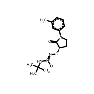 Cc1cccc(N2CC[C@@H](O/N=[N+](\[O-])NC(C)(C)C)C2=O)c1